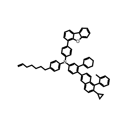 C=CCCCCCc1ccc(N(c2ccc(-c3cccc4c3oc3ccccc34)cc2)c2ccc(-c3ccc4c(-c5ccccc5C)c(C5CC5)ccc4c3)c(C3=CCCC=C3)c2)cc1